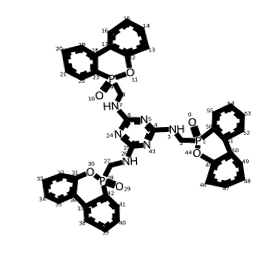 O=P1(CNc2nc(NCP3(=O)Oc4ccccc4-c4ccccc43)nc(NCP3(=O)Oc4ccccc4-c4ccccc43)n2)Oc2ccccc2-c2ccccc21